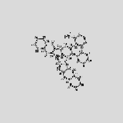 CC(C)c1cccc(-c2ccccc2)c1-c1cc2c3cc4ccccc4cc3n3c2c(c1)n1c2cc4ccccc4cc2nc13